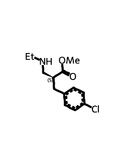 CCNC[C@H](Cc1ccc(Cl)cc1)C(=O)OC